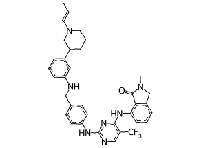 CC=CN1CCCC(c2cccc(NCc3ccc(Nc4ncc(C(F)(F)F)c(Nc5cccc6c5C(=O)N(C)C6)n4)cc3)c2)C1